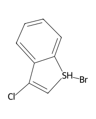 ClC1=C[SH](Br)c2ccccc21